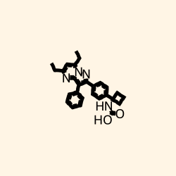 CCc1cc(CC)n2nc(-c3ccc(C4(NC(=O)O)CCC4)cc3)c(-c3ccccc3)c2n1